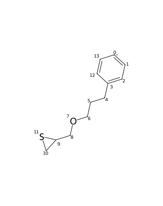 [c]1ccc(CCCOCC2CS2)cc1